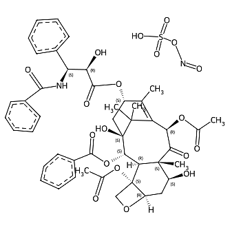 CC(=O)O[C@H]1C(=O)[C@@]2(C)[C@H]([C@H](OC(=O)c3ccccc3)[C@]3(O)C[C@H](OC(=O)[C@H](O)[C@@H](NC(=O)c4ccccc4)c4ccccc4)C(C)=C1C3(C)C)[C@]1(OC(C)=O)CO[C@@H]1C[C@@H]2O.O=NOS(=O)(=O)O